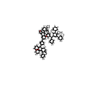 Cc1ccccc1-c1cc(C(c2ccccc2)c2ccc3c(c2)Sc2c(Cl)cccc2C32c3ccccc3-c3cc(-c4ccc(C(c5ccccc5)c5ccc6sc7ccccc7c6c5-c5ccccc5)cc4)ccc32)cc(-c2ccccc2)c1C